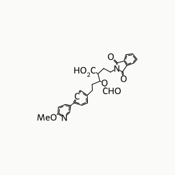 COc1ccc(-c2ccc(CCC(OC=O)C(CCN3C(=O)c4ccccc4C3=O)C(=O)O)cc2)cn1